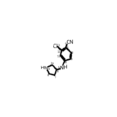 N#Cc1ccc(NC2CCNC2)cc1Cl